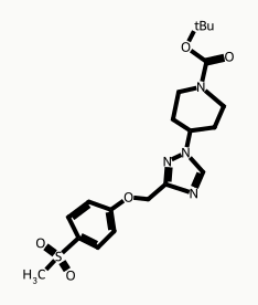 CC(C)(C)OC(=O)N1CCC(n2cnc(COc3ccc(S(C)(=O)=O)cc3)n2)CC1